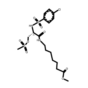 COC(=O)CCCCCCNC(=O)[C@H](COS(C)(=O)=O)NS(=O)(=O)c1ccc(Cl)cc1